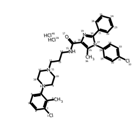 Cc1c(Cl)cccc1N1CCN(CCCNC(=O)c2nc(-c3ccccc3)n(-c3ccc(Cl)cc3)c2C)CC1.Cl.Cl